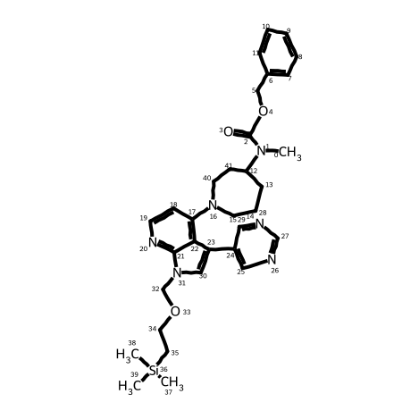 CN(C(=O)OCc1ccccc1)C1CCCN(c2ccnc3c2c(-c2cncnc2)cn3COCC[Si](C)(C)C)CC1